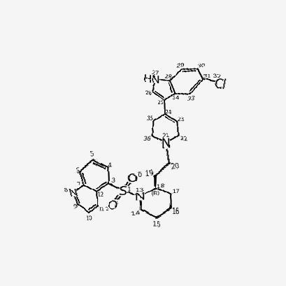 O=S(=O)(c1cccc2ncccc12)N1CCCC[C@@H]1CCN1CC=C(c2c[nH]c3ccc(Cl)cc23)CC1